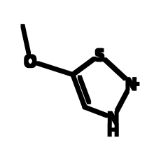 COC1=CN[N]S1